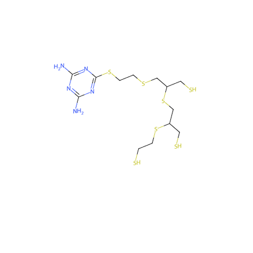 Nc1nc(N)nc(SCCSCC(CS)SCC(CS)SCCS)n1